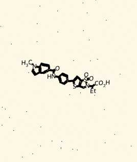 CCC(C(=O)O)N1Cc2sc(-c3ccc(NC(=O)c4ccc5c(ccn5C)c4)cc3)cc2S1(=O)=O